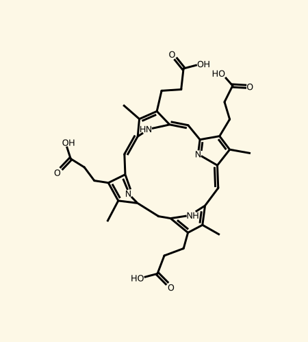 CC1=C(CCC(=O)O)C2=NC/1=C\c1[nH]c(c(CCC(=O)O)c1C)CC1N=C(/C=c3\[nH]/c(c(CCC(=O)O)c3C)=C\2)C(CCC(=O)O)=C1C